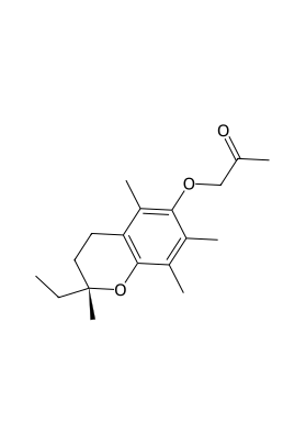 CC[C@]1(C)CCc2c(C)c(OCC(C)=O)c(C)c(C)c2O1